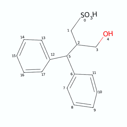 O=S(=O)(O)CC(CO)C(c1ccccc1)c1ccccc1